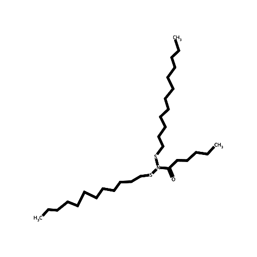 CCCCCCCCCCCCSN(SCCCCCCCCCCCC)C(=O)CCCCC